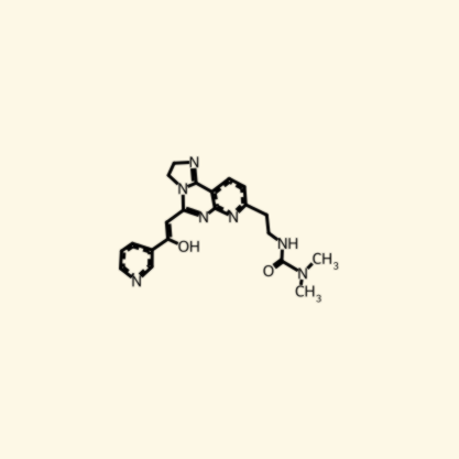 CN(C)C(=O)NCCc1ccc2c(n1)N=C(/C=C(\O)c1cccnc1)N1CCN=C21